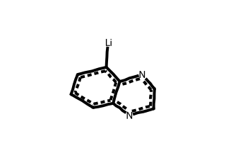 [Li][c]1cccc2nccnc12